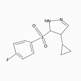 O=S(=O)(c1ccc(F)cc1)C1NN=CC1C1CC1